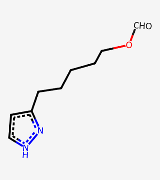 O=COCCCCCc1cc[nH]n1